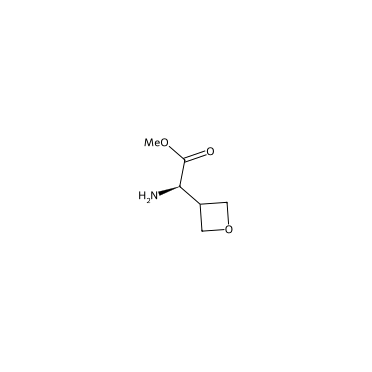 COC(=O)[C@H](N)C1COC1